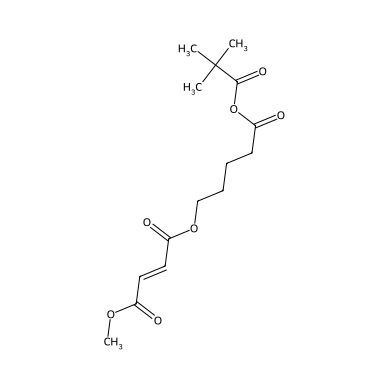 COC(=O)/C=C/C(=O)OCCCCC(=O)OC(=O)C(C)(C)C